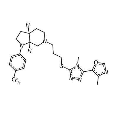 Cc1ncoc1-c1nnc(SCCCN2CC[C@H]3CCN(c4ccc(C(F)(F)F)cc4)[C@H]3C2)n1C